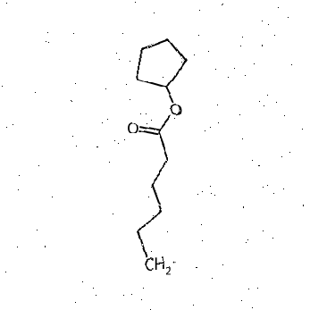 [CH2]CCCCC(=O)OC1CCCC1